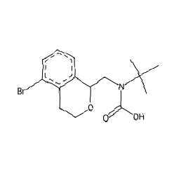 CC(C)(C)N(CC1OCCc2c(Br)cccc21)C(=O)O